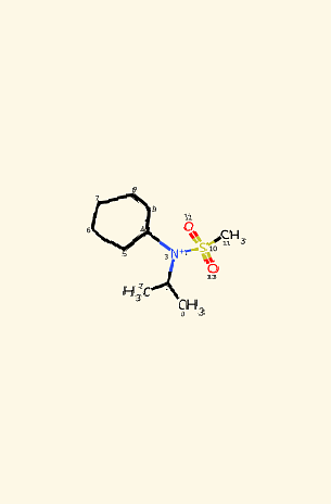 CC(C)[N+](C1CCCCC1)S(C)(=O)=O